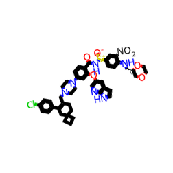 O=C(N[S+]([O-])c1ccc(NC[C@H]2COCCO2)c([N+](=O)[O-])c1)c1ccc(N2CCN(CC3=C(c4ccc(Cl)cc4)CC4(CCC4)CC3)CC2)cc1Oc1cnc2[nH]ccc2c1